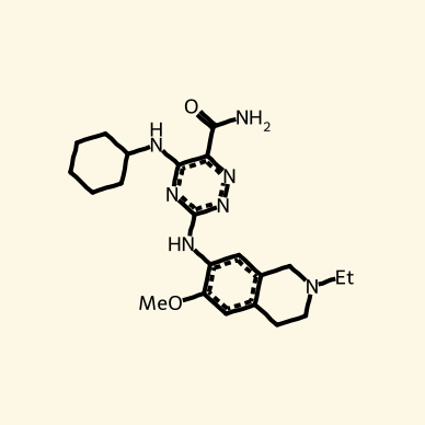 CCN1CCc2cc(OC)c(Nc3nnc(C(N)=O)c(NC4CCCCC4)n3)cc2C1